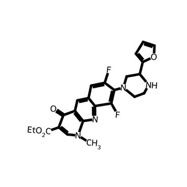 CCOC(=O)c1cn(C)c2nc3c(F)c(N4CCNC(c5ccco5)C4)c(F)cc3cc2c1=O